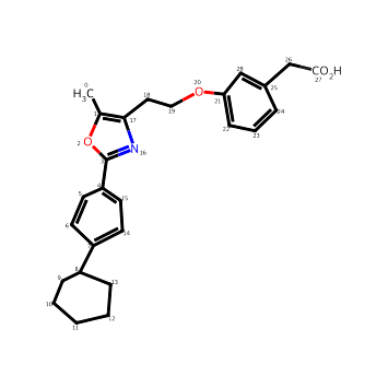 Cc1oc(-c2ccc(C3CCCCC3)cc2)nc1CCOc1cccc(CC(=O)O)c1